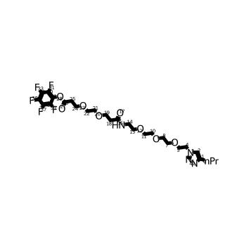 CCCc1cn(CCOCCOCCOCCNC(=O)CCOCCOCCC(=O)Oc2c(F)c(F)c(F)c(F)c2F)nn1